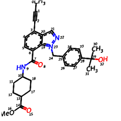 CC#Cc1ccc(C(=O)NC2CCC(C(=O)OC)CC2)c2c1cnn2Cc1ccc(C(C)(C)O)cc1